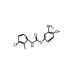 COc1ccc(OC(=O)Nc2cccc(Cl)c2C)cc1N